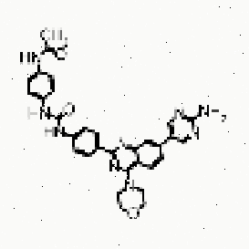 CC(=O)Nc1ccc(NC(=O)Nc2ccc(-c3nc(N4CCOCC4)c4ccc(-c5cnc(N)nc5)cc4n3)cc2)cc1